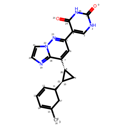 O=c1[nH]cc(-c2cc([C@@H]3C[C@H]3C3C=CC=C(C(F)(F)F)C3)c3nccn3n2)c(=O)[nH]1